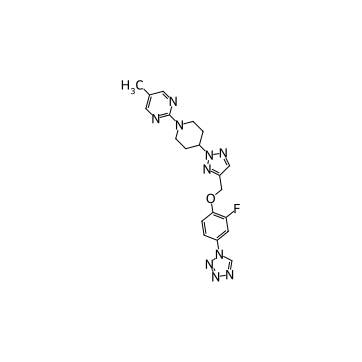 Cc1cnc(N2CCC(n3ncc(COc4ccc(-n5cnnn5)cc4F)n3)CC2)nc1